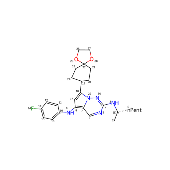 CCCCC[C@H](C)Nc1ncc2c(Nc3ccc(F)cc3)cc(C3CCC4(CC3)OCCO4)n2n1